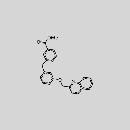 COC(=O)c1cccc(Cc2cccc(OCc3ccc4ccccc4n3)c2)c1